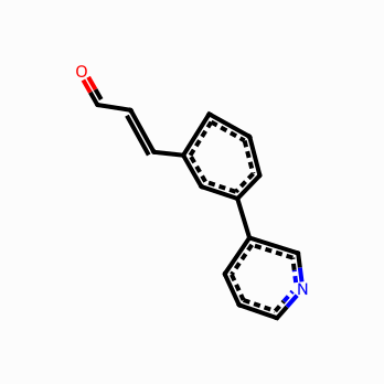 O=C/C=C/c1cccc(-c2cccnc2)c1